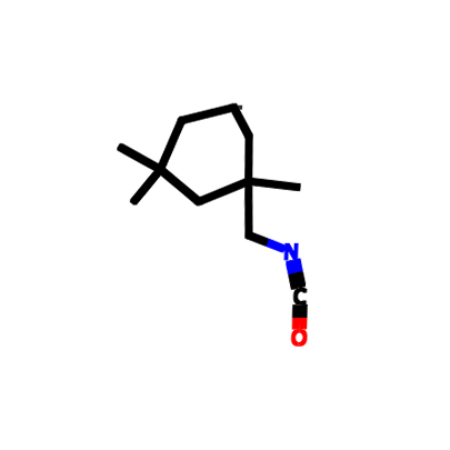 CC1(C)C[CH]CC(C)(CN=C=O)C1